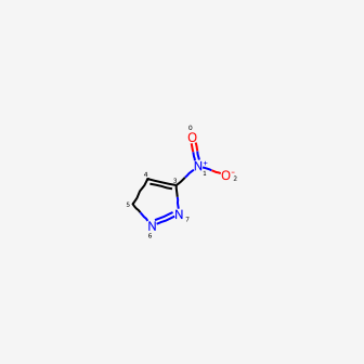 O=[N+]([O-])C1=CCN=N1